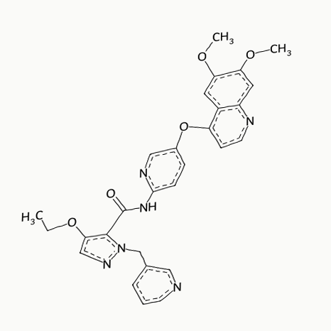 CCOc1cnn(Cc2cccnc2)c1C(=O)Nc1ccc(Oc2ccnc3cc(OC)c(OC)cc23)cn1